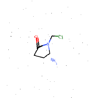 N.O=C1CCCN1CCl